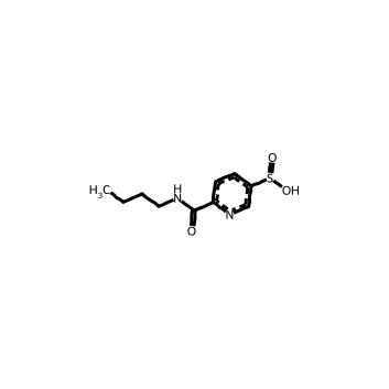 CCCCNC(=O)c1ccc(S(=O)O)cn1